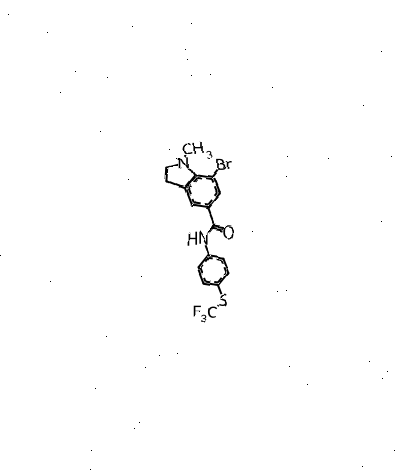 CN1CCc2cc(C(=O)Nc3ccc(SC(F)(F)F)cc3)cc(Br)c21